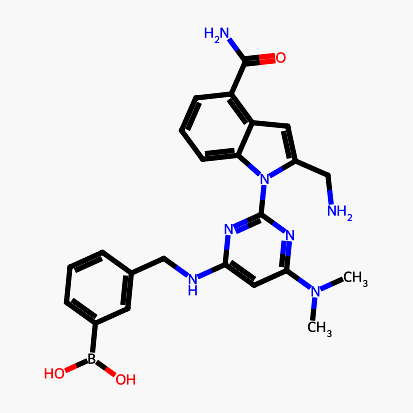 CN(C)c1cc(NCc2cccc(B(O)O)c2)nc(-n2c(CN)cc3c(C(N)=O)cccc32)n1